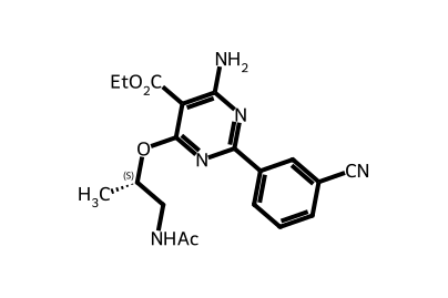 CCOC(=O)c1c(N)nc(-c2cccc(C#N)c2)nc1O[C@@H](C)CNC(C)=O